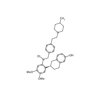 CCN(Cc1ccc(CCN2CCC(C)CC2)cc1)c1cc(OC)c(OC)cc1[C@@H]1CCc2cc(O)ccc2C1